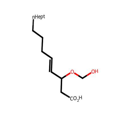 CCCCCCCCCC/C=C/C(CC(=O)O)OCO